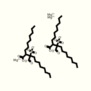 CCCCCCCCC(C(=O)[O-])C(CCCCCCCC)(C(=O)[O-])S(=O)(=O)[O-].CCCCCCCCC(C(=O)[O-])C(CCCCCCCC)(C(=O)[O-])S(=O)(=O)[O-].[Mg+2].[Mg+2].[Mg+2]